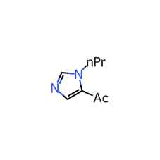 CCCn1cncc1C(C)=O